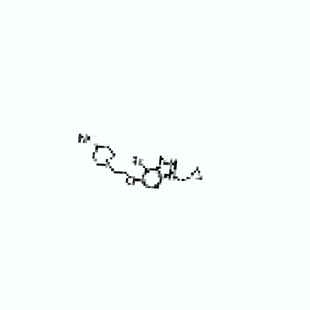 N#CC1CCN(CCOc2ccc3c(nnn3CC3CC3)c2Br)CC1